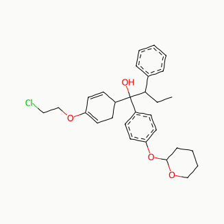 CCC(c1ccccc1)C(O)(c1ccc(OC2CCCCO2)cc1)C1C=CC(OCCCl)=CC1